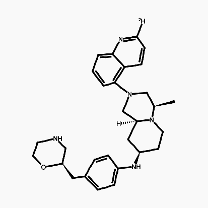 [2H]c1ccc2c(N3C[C@@H]4C[C@H](Nc5ccc(C[C@@H]6CNCCO6)cc5)CCN4[C@H](C)C3)cccc2n1